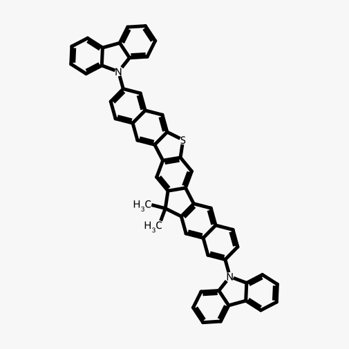 CC1(C)c2cc3cc(-n4c5ccccc5c5ccccc54)ccc3cc2-c2cc3sc4cc5cc(-n6c7ccccc7c7ccccc76)ccc5cc4c3cc21